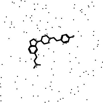 CN(C)CCc1ccc2c(c1)N(C1CCN(CCc3ccc(F)cc3)CC1)CC2